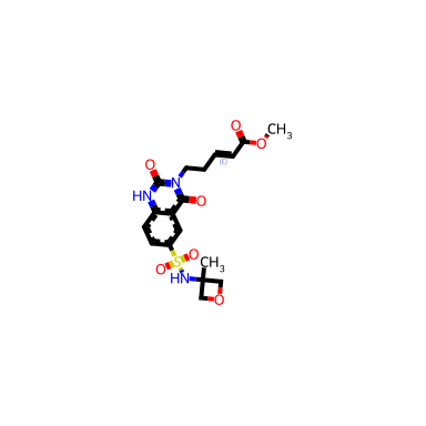 COC(=O)/C=C/CCn1c(=O)[nH]c2ccc(S(=O)(=O)NC3(C)COC3)cc2c1=O